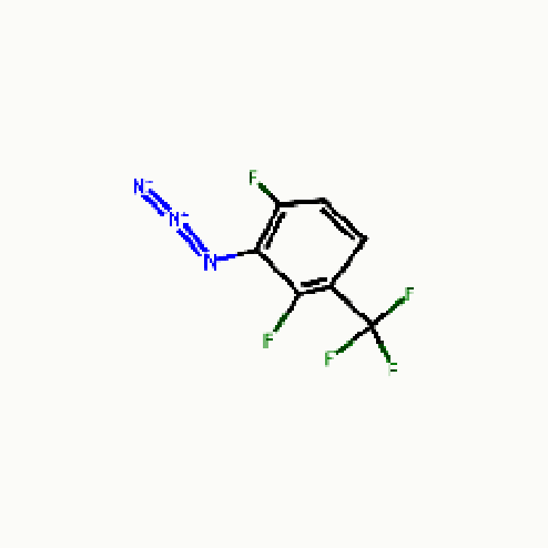 [N-]=[N+]=Nc1c(F)ccc(C(F)(F)F)c1F